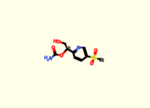 CCS(=O)(=O)c1ccc([C@H](CO)OC(N)=O)nc1